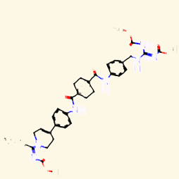 CN/C(=N/C(=O)OC(C)(C)C)N1CC=C(c2ccc(NC(=O)C34CCC(C(=O)Nc5ccc(CN/C(=N/C(=O)OC(C)(C)C)NC(=O)OC(C)(C)C)cc5)(CC3)CC4)cc2)CC1